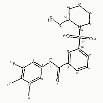 O=C(Nc1cc(F)c(F)c(F)c1)c1cccc(S(=O)(=O)N2CCCCC2CO)c1